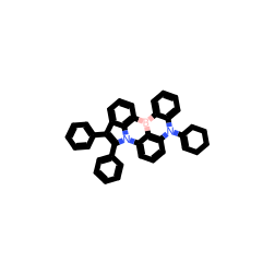 C1=C(N2c3ccccc3B3c4c2cccc4-n2c(-c4ccccc4)c(-c4ccccc4)c4cccc3c42)CCCC1